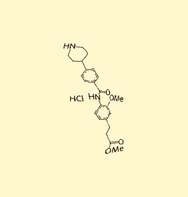 COC(=O)CCc1ccc(NC(=O)c2ccc(C3CCNCC3)cc2)c(OC)c1.Cl